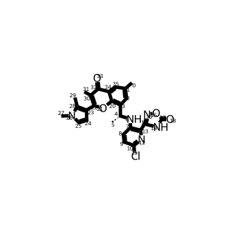 Cc1cc([C@@H](C)Nc2ccc(Cl)nc2-c2noc(=O)[nH]2)c2oc(-c3ccn(C)c3C)c(C)c(=O)c2c1